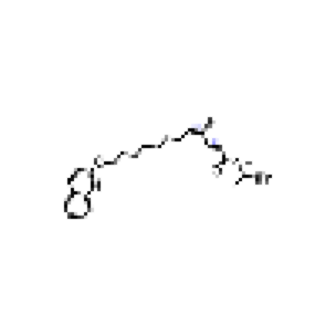 CC(C)C(C)NC(=O)/C=C/C(F)=C\CCCCCCCOc1ccc2ccccc2n1